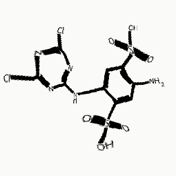 Nc1cc(S(=O)(=O)O)c(Nc2nc(Cl)nc(Cl)n2)cc1S(=O)(=O)O